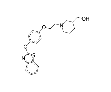 OCC1CCCN(CCOc2ccc(Oc3nc4ccccc4s3)cc2)C1